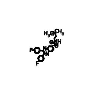 CN(C)CCNS(=O)(=O)c1ccc2nc(-c3ccc(F)cc3)c(-c3ccc(F)cc3)nc2c1